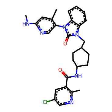 CNc1cc(C)c(-n2c(=O)n(CC3CCC(NC(=O)c4cc(Cl)cnc4C)CC3)c3ccccc32)cn1